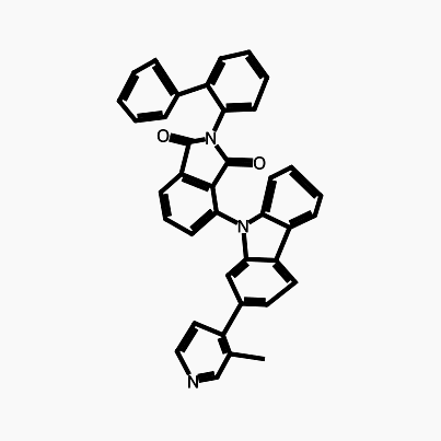 Cc1cnccc1-c1ccc2c3ccccc3n(-c3cccc4c3C(=O)N(c3ccccc3-c3ccccc3)C4=O)c2c1